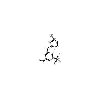 COc1cc(Nc2nccc(Cl)n2)cc(S(C)(=O)=O)c1